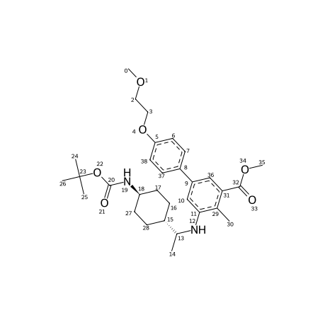 COCCOc1ccc(-c2cc(NC(C)[C@H]3CC[C@H](NC(=O)OC(C)(C)C)CC3)c(C)c(C(=O)OC)c2)cc1